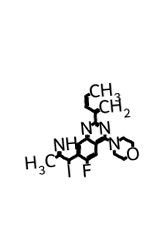 C=C(/C=C\C)c1nc(N2CCOCC2)c2cc(F)c(C(I)C(C)=N)cc2n1